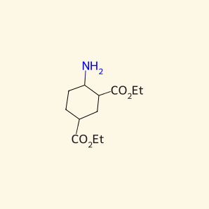 CCOC(=O)C1CCC(N)C(C(=O)OCC)C1